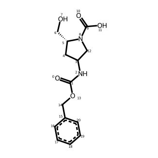 O=C(NC1C[C@H](CO)N(C(=O)O)C1)OCc1ccccc1